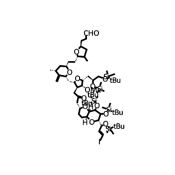 C=C1[C@H](C)C[C@H](CC[C@@H]2O[C@@H](CCC=O)CC2C)O[C@@H]1C[C@@H]1O[C@H](C[C@@H](CO[Si](C)(C)C(C)(C)C)O[Si](C)(C)C(C)(C)C)[C@H](OC)[C@H]1CC(=O)C[C@H]1CC[C@@H]2O[C@@H](C(/C=C/I)O[Si](C)(C)C(C)(C)C)C(O[Si](C)(C)C(C)(C)C)C(O[Si](C)(C)C(C)(C)C)[C@H]2O1